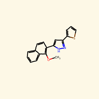 COc1c(-c2cc(-c3cccs3)n[nH]2)ccc2ccccc12